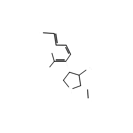 C\C(F)=C(/C=C\C=C\Cl)[C@H]1CN[C@@H](CC(C)(C)C)C1C#N